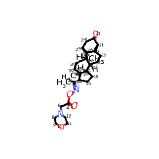 C/C(=N\OC(=O)CN1CCOCC1)[C@H]1CC[C@H]2[C@@H]3CCC4=CC(=O)CC[C@]4(C)[C@H]3CC[C@]12C